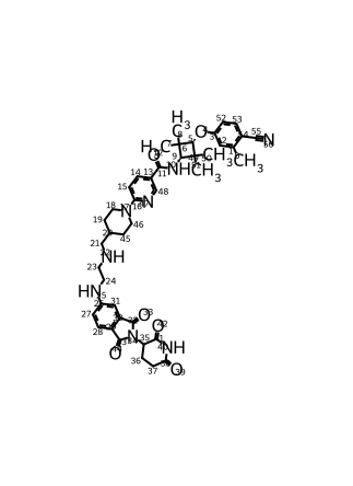 Cc1cc(O[C@H]2C(C)(C)[C@H](NC(=O)c3ccc(N4CCC(CNCCNc5ccc6c(c5)C(=O)N(C5CCC(=O)NC5=O)C6=O)CC4)nc3)C2(C)C)ccc1C#N